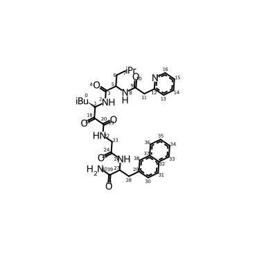 CC[C@H](C)C(NC(=O)C(CC(C)C)NC(=O)Cc1ccccn1)C(=O)C(=O)NCC(=O)NC(Cc1ccc2ccccc2c1)C(N)=O